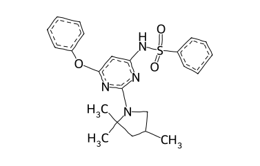 CC1CN(c2nc(NS(=O)(=O)c3ccccc3)cc(Oc3ccccc3)n2)C(C)(C)C1